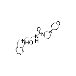 O=C(NCC(O)CN1CCc2ccccc2C1)N1CCC[C@H](C2CCOCC2)C1